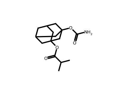 CC(C)C(=O)OC12CC3CC(CC(OC(N)=O)(C3)C1)C2